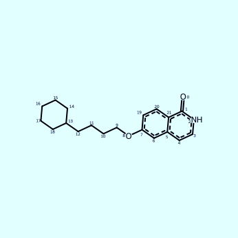 O=c1[nH]ccc2cc(OCCCCC3CCCCC3)ccc12